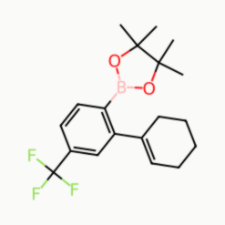 CC1(C)OB(c2ccc(C(F)(F)F)cc2C2=CCCCC2)OC1(C)C